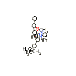 Cc1ccc2c(oc3cc(-c4ccccc4)ccc32)c1-c1n(-c2c(C(C)C)cc(-c3ccc([Si](C)(C)C)cc3)cc2C(C)C)c2ccccc2[n+]1C